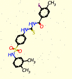 Cc1ccc(NS(=O)(=O)c2ccc(NC(=S)NC(=O)c3ccc(C)c(I)c3)cc2)cc1C